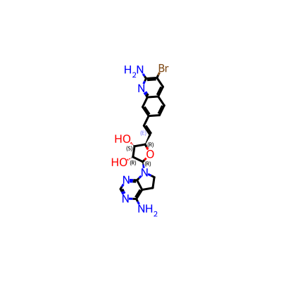 Nc1nc2cc(/C=C/[C@H]3O[C@@H](N4CCc5c(N)ncnc54)[C@H](O)[C@@H]3O)ccc2cc1Br